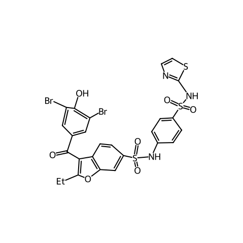 CCc1oc2cc(S(=O)(=O)Nc3ccc(S(=O)(=O)Nc4nccs4)cc3)ccc2c1C(=O)c1cc(Br)c(O)c(Br)c1